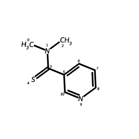 CN(C)C(=S)c1cccnc1